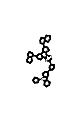 c1ccc(-n2c3ccccc3c3cc(-c4cccc(-c5cnc6c7ccc(-c8cccc9ccccc89)cc7c7cc(-c8cccc9ccccc89)ccc7c6n5)c4)ccc32)cc1